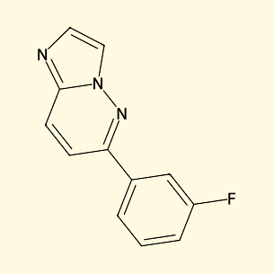 Fc1cccc(-c2ccc3nccn3n2)c1